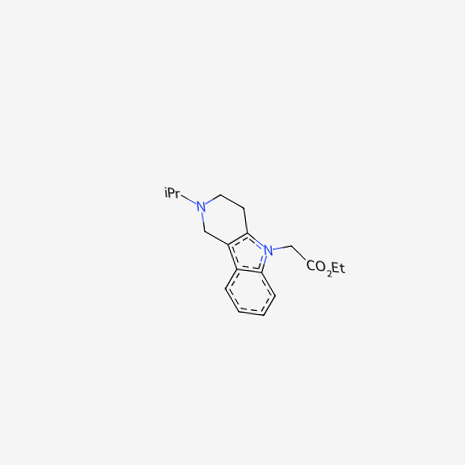 CCOC(=O)Cn1c2c(c3ccccc31)CN(C(C)C)CC2